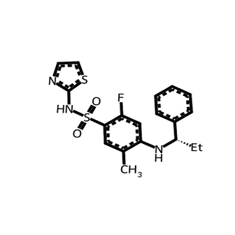 CC[C@H](Nc1cc(F)c(S(=O)(=O)Nc2nccs2)cc1C)c1ccccc1